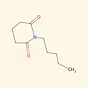 CCCCCN1C(=O)CCCC1=O